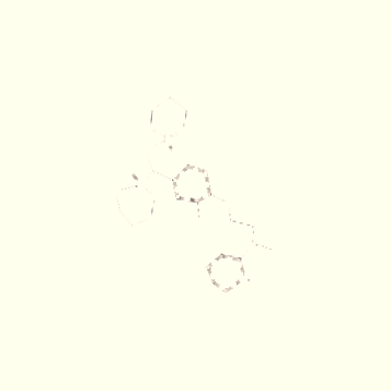 CN(CCOc1ccc(C(OP2(=O)OCCCO2)P2(=O)OCCCO2)cc1F)c1ccccn1